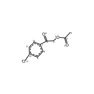 CC(=O)OCC(=O)c1ccc(Cl)cc1